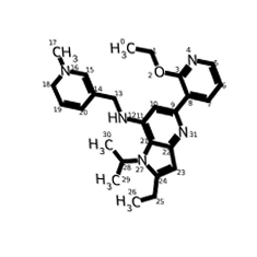 CCOc1ncccc1-c1cc(NCC2=CN(C)CC=C2)c2c(cc(CC)n2C(C)C)n1